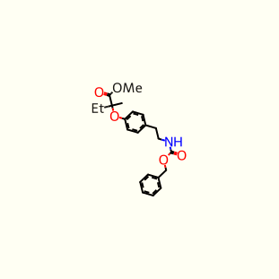 CCC(C)(Oc1ccc(CCNC(=O)OCc2ccccc2)cc1)C(=O)OC